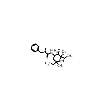 CCC1(C)CC(NC(=O)NCc2ccccc2)C(C)C(C)(CC)N1